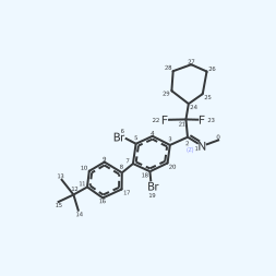 C/N=C(/c1cc(Br)c(-c2ccc(C(C)(C)C)cc2)c(Br)c1)C(F)(F)C1CCCCC1